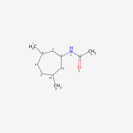 CC(=O)NC1CC(C)CCC(C)C1